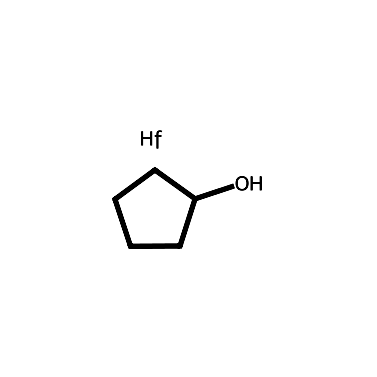 OC1CCCC1.[Hf]